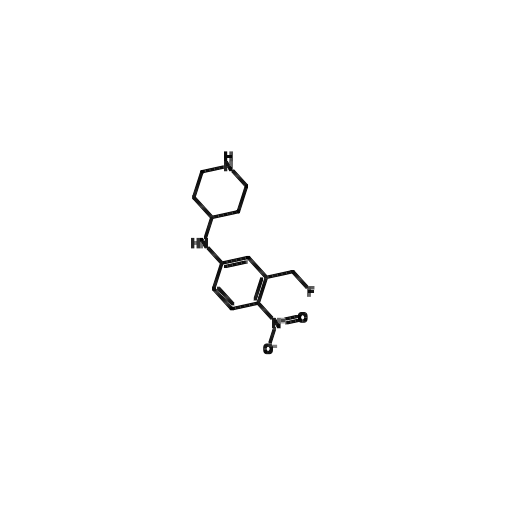 O=[N+]([O-])c1ccc(NC2CCNCC2)cc1CF